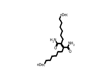 CCCCCCCCCCCCCCCCC(C(N)=O)=C(CCCCCCCCCCCCCCCC)C(N)=O